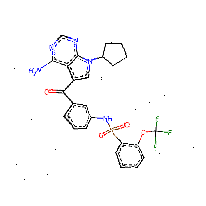 Nc1ncnc2c1c(C(=O)c1cccc(NS(=O)(=O)c3ccccc3OC(F)(F)F)c1)cn2C1CCCC1